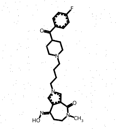 CN1CCC(=NO)c2cn(CCCCN3CCC(C(=O)c4ccc(F)cc4)CC3)cc2C1=O